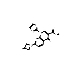 CC1CN(c2ccc3c(=O)c(C(=O)N=O)cn(-c4nccs4)c3n2)C1